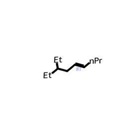 [CH2]CC/C=C/CC(CC)CC